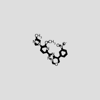 COc1nc(-c2nc3n(n2)COCC3c2cccc([N+](=O)[O-])c2)ccc1-n1cnc(C)c1